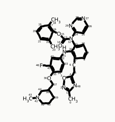 Cc1noc(CCc2cccc(N(C(=O)Oc3c(C)cccc3C)c3ccncn3)c2Nc2ccc(OCC3CCCN(C)C3)c(F)c2)n1